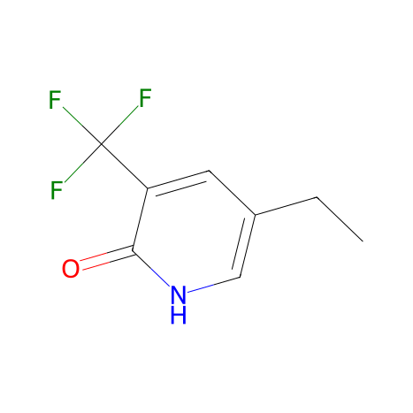 CCc1c[nH]c(=O)c(C(F)(F)F)c1